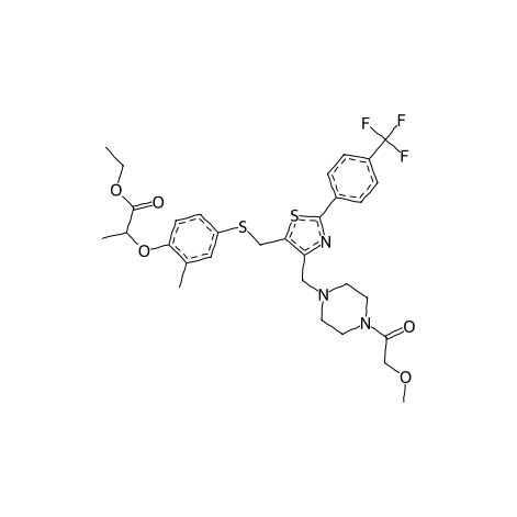 CCOC(=O)C(C)Oc1ccc(SCc2sc(-c3ccc(C(F)(F)F)cc3)nc2CN2CCN(C(=O)COC)CC2)cc1C